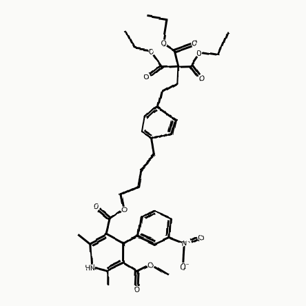 CCOC(=O)C(CCc1ccc(CCCCOC(=O)C2=C(C)NC(C)=C(C(=O)OC)C2c2cccc([N+](=O)[O-])c2)cc1)(C(=O)OCC)C(=O)OCC